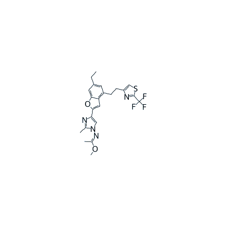 CCc1cc(CCc2csc(C(F)(F)F)n2)c2cc(-c3cn(/N=C(\C)OC)c(C)n3)oc2c1